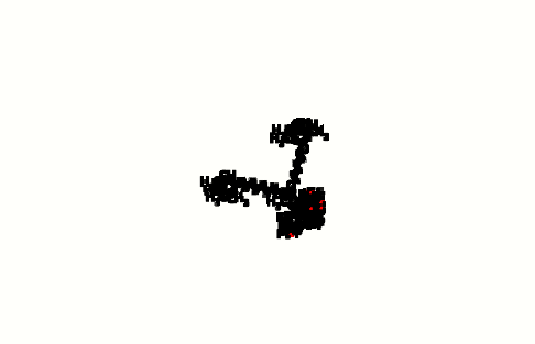 CC(COCCCCCCOC1CC(C)(C)N(O)C(C)(C)C1)(COCCCCCCOC1CC(C)(C)N(O)C(C)(C)C1)OCC(COC(C(F)(F)F)(C(F)(F)F)C(F)(F)F)(COC(C(F)(F)F)(C(F)(F)F)C(F)(F)F)COC(C(F)(F)F)(C(F)(F)F)C(F)(F)F